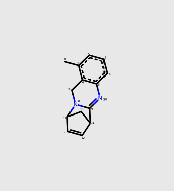 Cc1cccc2c1CN1C(=N2)C2C=CC1C2